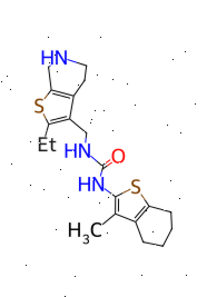 CCc1sc2c(c1CNC(=O)Nc1sc3c(c1C)CCCC3)CCNC2